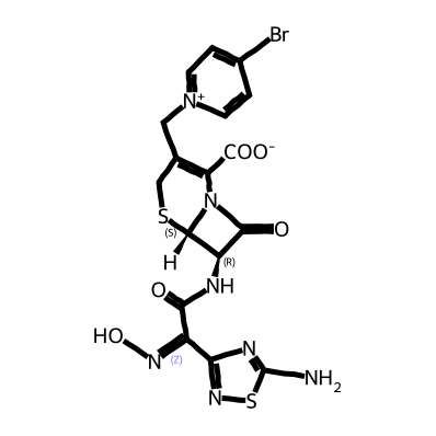 Nc1nc(/C(=N/O)C(=O)N[C@@H]2C(=O)N3C(C(=O)[O-])=C(C[n+]4ccc(Br)cc4)CS[C@@H]23)ns1